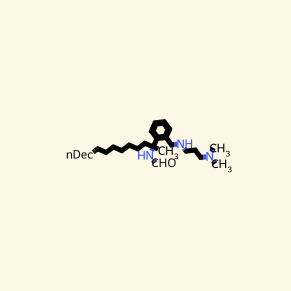 CCCCCCCCCCCCCCCCCC(C)(NC=O)c1ccccc1CNCCCN(C)C